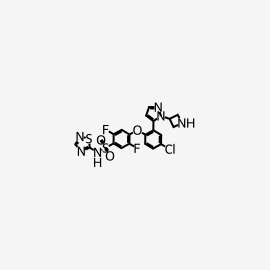 O=S(=O)(Nc1ncns1)c1cc(F)c(Oc2ccc(Cl)cc2-c2ccnn2C2CNC2)cc1F